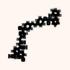 O=C(Nc1ccccc1-c1ccccc1)OC1CCN(CCC2CCN(C(=O)c3ccc(CNC[C@@H](O)c4ccc(O)c5[nH]c(=O)ccc45)s3)CC2)CC1